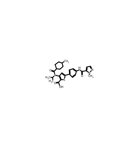 CC1CCC(C(=O)N(c2cc(-c3ccc(NC(=O)c4ccnn4C)cc3)sc2C(=O)O)C(C)C)CC1